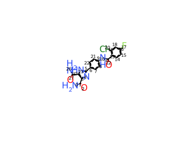 NC(=O)c1nc(-c2ccc(NC(=O)c3ccc(F)cc3Cl)cc2)[nH]c1C(N)=O